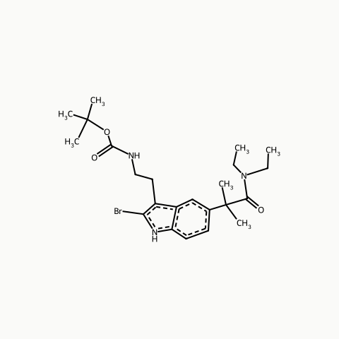 CCN(CC)C(=O)C(C)(C)c1ccc2[nH]c(Br)c(CCNC(=O)OC(C)(C)C)c2c1